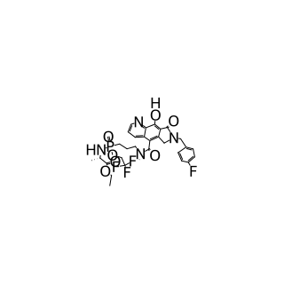 CCOC(=O)[C@H](C)NP(=O)(CCCN(C)C(=O)c1c2c(c(O)c3ncccc13)C(=O)N(Cc1ccc(F)cc1)C2)OCC(F)(F)F